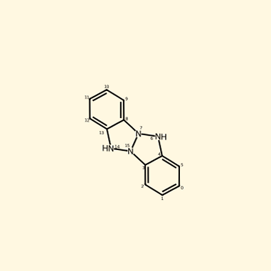 c1ccc2c(c1)NN1c3ccccc3NN21